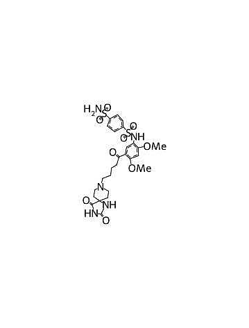 COc1cc(OC)c(C(=O)CCCCN2CCC3(CC2)NC(=O)NC3=O)cc1NS(=O)(=O)c1ccc(S(N)(=O)=O)cc1